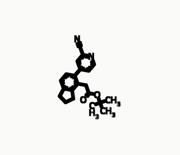 CC(C)(C)OC(=O)Cc1c(-c2ccnc(C#N)c2)ccc2c1CCC2